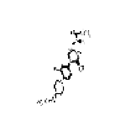 CN=C1CCN(c2ccc(N3C[C@H](CNC(C)=O)OC3=O)cc2F)CC1